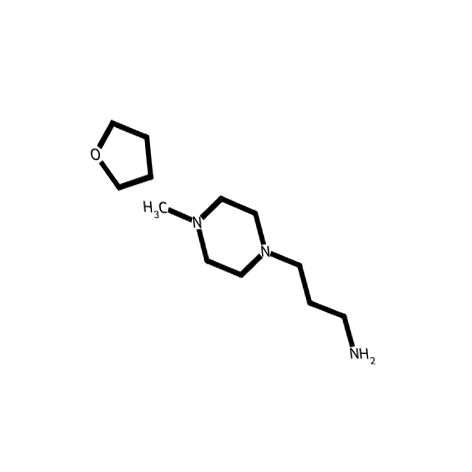 C1CCOC1.CN1CCN(CCCN)CC1